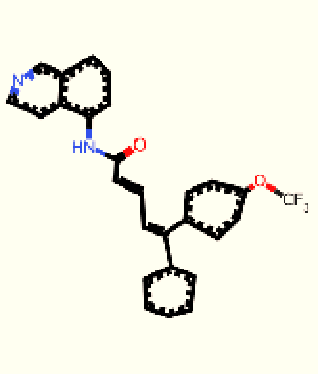 O=C(C=CC=C(c1ccccc1)c1ccc(OC(F)(F)F)cc1)Nc1cccc2cnccc12